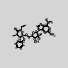 CCOC(=O)[C@H](C)NP(=S)(OC[C@H]1O[C@@H](n2cnc3c(N(C)C)nc(N)nc32)[C@](C)(F)[C@@H]1O)Oc1ccccc1